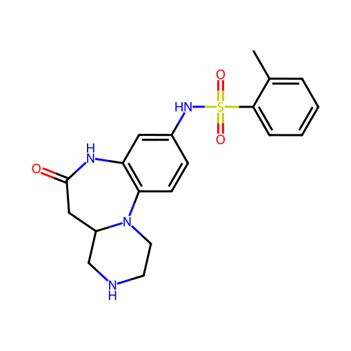 Cc1ccccc1S(=O)(=O)Nc1ccc2c(c1)NC(=O)CC1CNCCN21